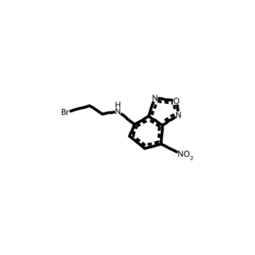 O=[N+]([O-])c1ccc(NCCBr)c2nonc12